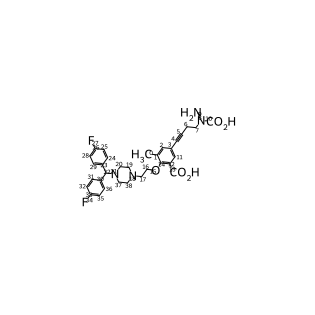 Cc1cc(C#CCCN(N)C(=O)O)cc(C(=O)O)c1OCCN1CCN(C(c2ccc(F)cc2)c2ccc(F)cc2)CC1